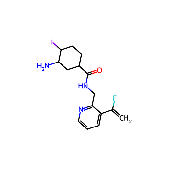 C=C(F)c1cccnc1CNC(=O)C1CCC(I)C(N)C1